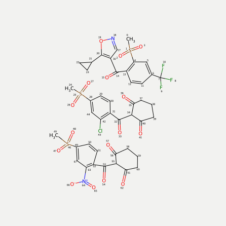 CS(=O)(=O)c1cc(C(F)(F)F)ccc1C(=O)c1cnoc1C1CC1.CS(=O)(=O)c1ccc(C(=O)C2C(=O)CCCC2=O)c(Cl)c1.CS(=O)(=O)c1ccc(C(=O)C2C(=O)CCCC2=O)c([N+](=O)[O-])c1